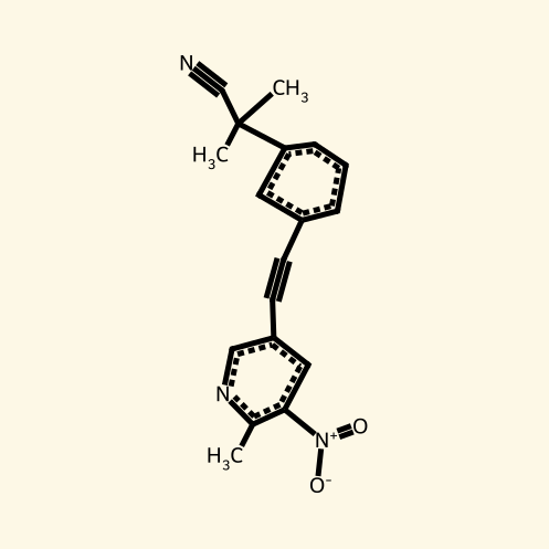 Cc1ncc(C#Cc2cccc(C(C)(C)C#N)c2)cc1[N+](=O)[O-]